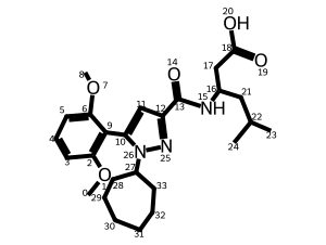 COc1cccc(OC)c1-c1cc(C(=O)NC(CC(=O)O)CC(C)C)nn1C1CCCCCC1